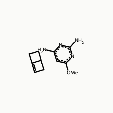 C1=C2CCC2C1.COc1cc(N)nc(N)n1